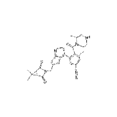 Cc1cc(C#N)nc(-c2ccnc3cc(CN4C(=O)C5C(C4=O)C5(C)C)sc23)c1C(=O)N1CCNCC1C